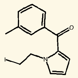 Cc1cccc(C(=O)c2cccn2CCI)c1